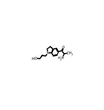 CC(N)C(=O)c1ccc2c(c1)CCN2CCCO